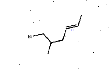 C/C=C/CC(C)CBr